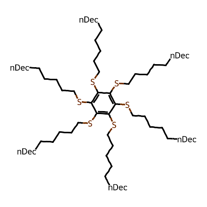 CCCCCCCCCCCCCCCSc1c(SCCCCCCCCCCCCCCC)c(SCCCCCCCCCCCCCCC)c(SCCCCCCCCCCCCCCC)c(SCCCCCCCCCCCCCCC)c1SCCCCCCCCCCCCCCC